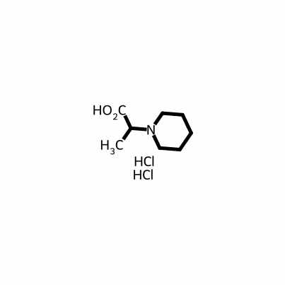 CC(C(=O)O)N1CCCCC1.Cl.Cl